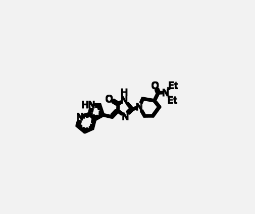 CCN(CC)C(=O)C1CCCN(C2=NC(=Cc3c[nH]c4ncccc34)C(=O)N2)C1